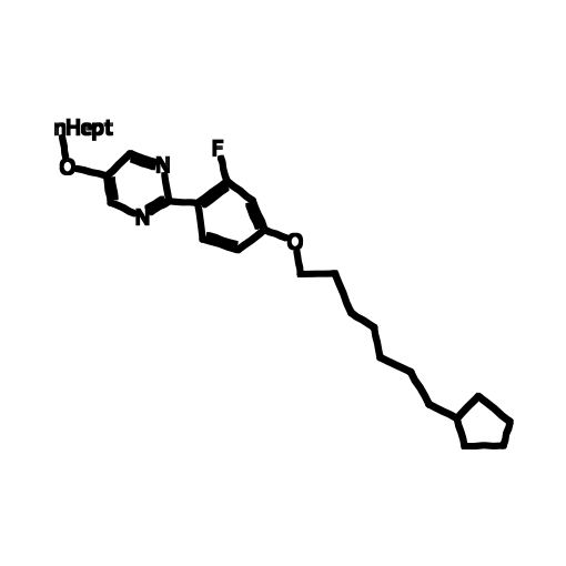 CCCCCCCOc1cnc(-c2ccc(OCCCCCCCC3CCCC3)cc2F)nc1